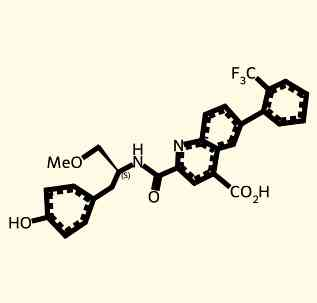 COC[C@H](Cc1ccc(O)cc1)NC(=O)c1cc(C(=O)O)c2cc(-c3ccccc3C(F)(F)F)ccc2n1